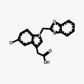 O=C(O)Cc1cn(Cc2nc3ccccc3o2)c2ccc(Cl)cc12